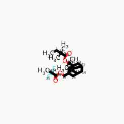 CCC(C)(C)C(=O)OC(C)(C)C12CC3CC(CC(COC(=O)C(C)(F)F)(C3)C1)C2